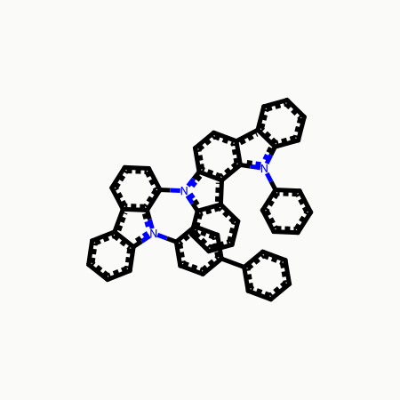 c1ccc(-c2ccc(-n3c4ccccc4c4cccc(-n5c6ccccc6c6c5ccc5c7ccccc7n(-c7ccccc7)c56)c43)cc2)cc1